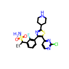 CCC(c1cccc(-c2nc(C3CCNCC3)sc2-c2ccnc(Cl)n2)c1F)S(N)(=O)=O